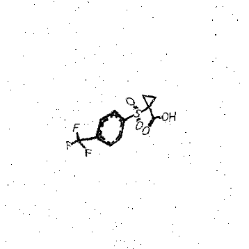 O=C(O)C1(S(=O)(=O)c2ccc(C(F)(F)F)cc2)CC1